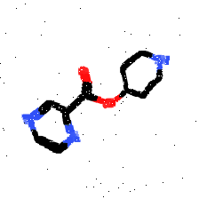 O=C(OC1CCNCC1)c1cnccn1